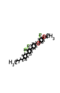 CCCCCc1ccc(-c2ccc(C3CCC(COc4ccc(OCC)c(F)c4)CC3)c(F)c2F)cc1